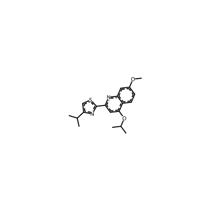 COc1ccc2c(OC(C)C)cc(-c3nc(C(C)C)cs3)nc2c1